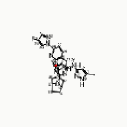 Cc1cc(Nc2cc(C)[nH]n2)nc(N2C3CCC2CN(C(=O)N[C@@H](C)c2ccc(-n4cc(F)cn4)nc2)C3)n1